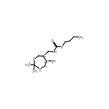 CCCCOC(=O)NC[C@@H]1COC(C)(C)OC[C@@H]1O